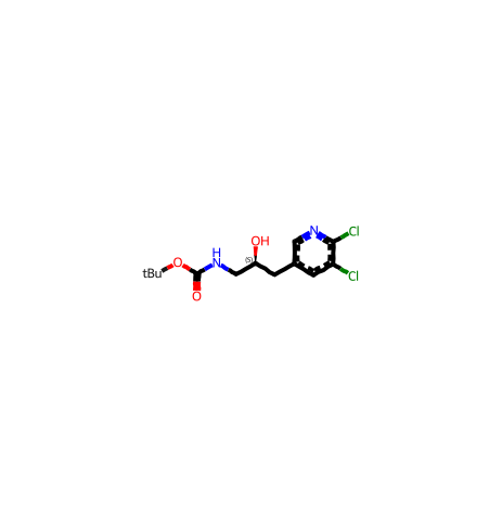 CC(C)(C)OC(=O)NC[C@@H](O)Cc1cnc(Cl)c(Cl)c1